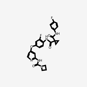 O=C(Nc1cc(Oc2ccc(NC(=O)C3(C(=O)Nc4ccc(F)cc4)CC3)c(F)c2)ccn1)N1CCC1